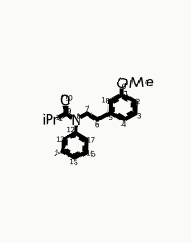 COc1cccc(CCN(C(=O)C(C)C)c2ccccc2)c1